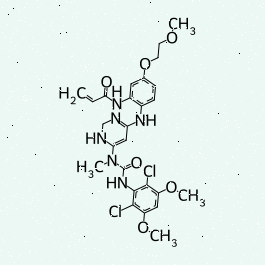 C=CC(=O)Nc1cc(OCCOC)ccc1NC1=NCNC(N(C)C(=O)Nc2c(Cl)c(OC)cc(OC)c2Cl)=C1